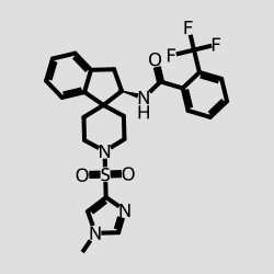 Cn1cnc(S(=O)(=O)N2CCC3(CC2)c2ccccc2C[C@H]3NC(=O)c2ccccc2C(F)(F)F)c1